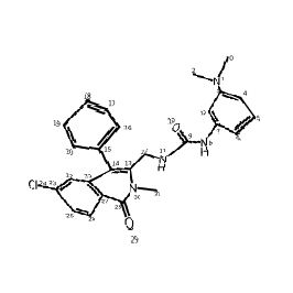 CN(C)c1cccc(NC(=O)NCc2c(-c3ccccc3)c3cc(Cl)ccc3c(=O)n2C)c1